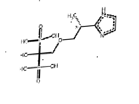 C[C@@H](COCC(O)(P(=O)(O)O)P(=O)(O)O)c1ncc[nH]1